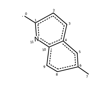 [CH2]c1ccc2cc(C)ccc2n1